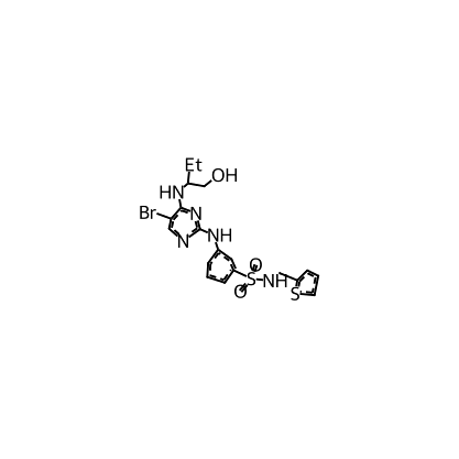 CCC(CO)Nc1nc(Nc2cccc(S(=O)(=O)NCc3cccs3)c2)ncc1Br